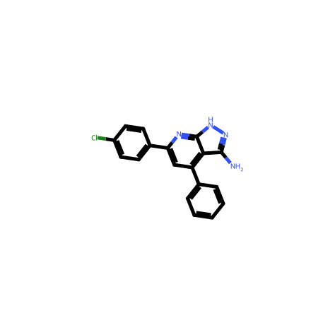 Nc1n[nH]c2nc(-c3ccc(Cl)cc3)cc(-c3ccccc3)c12